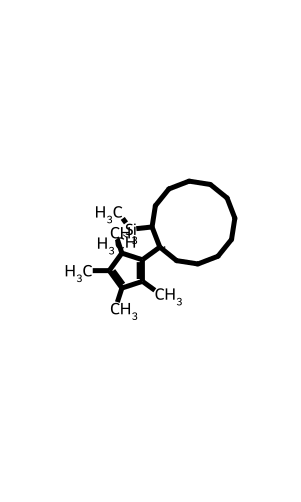 CC1=C(C)C(C)C([C]2CCCCCCCCCCC2[SiH](C)C)=C1C